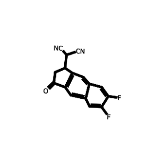 N#CC(C#N)C1CC(=O)c2cc3cc(F)c(F)cc3cc21